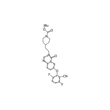 CC(C)(C)OC(=O)N1CCC(CCn2cnc3ccc(Oc4c(F)ccc(F)c4C#N)cc3c2=O)CC1